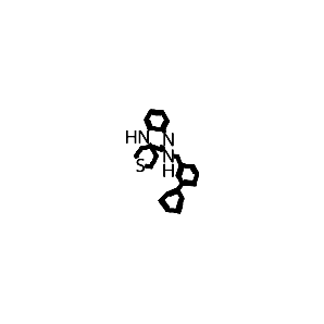 c1ccc(-c2cccc(CNC3=Nc4ccccc4NC34CCSCC4)c2)cc1